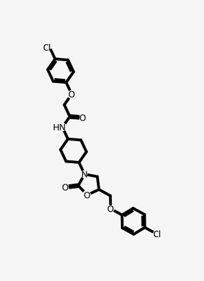 O=C(COc1ccc(Cl)cc1)NC1CCC(N2CC(COc3ccc(Cl)cc3)OC2=O)CC1